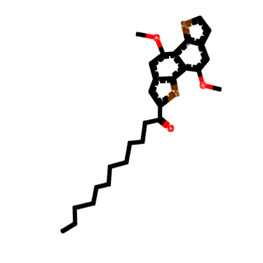 CCCCCCCCCCCC(=O)c1cc2cc(OC)c3c4sccc4cc(OC)c3c2s1